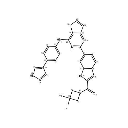 O=C(C1=CC2C=CC(c3nc(Nc4ccc(-c5cn[nH]c5)cc4)c4sccc4n3)=CC2N1)N1CC(F)(F)C1